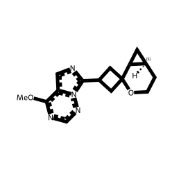 COc1ncnn2c(C3CC4(C3)OCC[C@@H]3CC34)ncc12